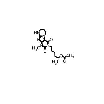 CC(=O)O[C@H](C)CCCCn1c(=O)c2c(nc3n2CCCN3)n(C)c1=O